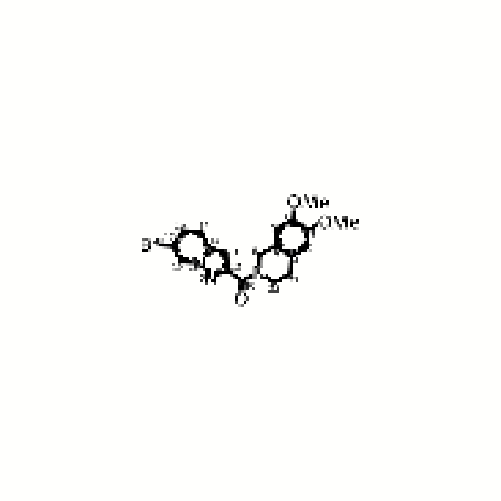 COc1cc2c(cc1OC)CN(C(=O)c1cc3ccc(Br)cn3n1)CC2